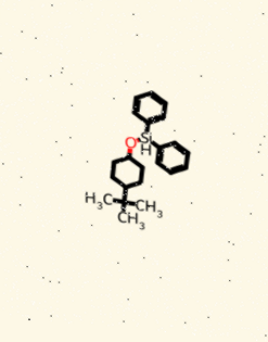 CC(C)(C)C1CCC(O[SiH](c2ccccc2)c2ccccc2)CC1